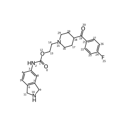 O=C(Nc1ccc2c(c1)CNC2)OCCN1CCC(C(=O)c2ccc(F)cc2)CC1